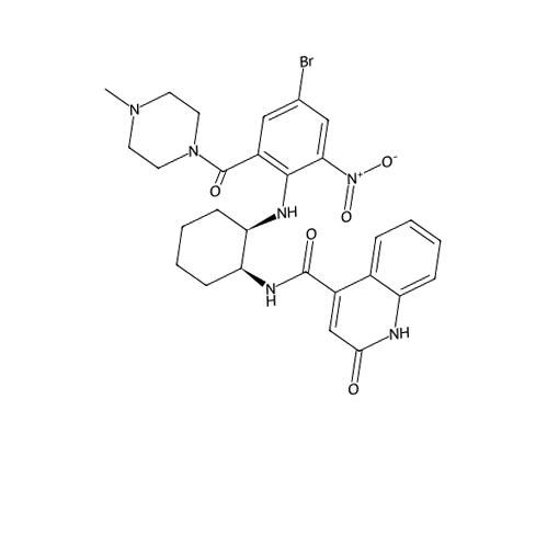 CN1CCN(C(=O)c2cc(Br)cc([N+](=O)[O-])c2N[C@@H]2CCCC[C@@H]2NC(=O)c2cc(=O)[nH]c3ccccc23)CC1